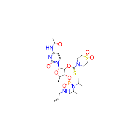 C=CCNOP(O[C@@H]1C(OC(=S)N2CCS(=O)(=O)CC2)[C@H](n2ccc(NC(C)=O)nc2=O)O[C@@H]1C)N(C(C)C)C(C)C